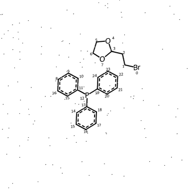 BrCCC1OCCO1.c1ccc(P(c2ccccc2)c2ccccc2)cc1